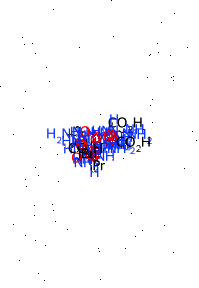 CC[C@H](C)[C@H](NC(=O)[C@H](CCCNC(=N)N)NC(=O)[C@H](CCCNC(=N)N)NC(=O)[C@H](C)NC(=O)[C@H](CC(C)C)NC(=O)[C@H](CCC(N)=O)NC(=O)[C@@H](NC(=O)[C@H](CC(=O)O)NC(=O)[C@H](CCCCN)NC(=O)[C@@H]1CCCN1)[C@@H](C)CC)C(=O)N[C@@H](CCCNC(=N)N)C(=O)NCC(=O)N[C@@H](CCC(=O)O)C(=O)N[C@@H](CCCNC(=N)N)C(=O)N[C@@H](C)C(=O)O